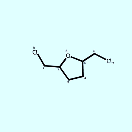 ClCC1CCC(CCl)O1